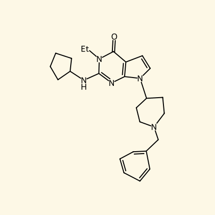 CCn1c(NC2CCCC2)nc2c(ccn2C2CCN(Cc3ccccc3)CC2)c1=O